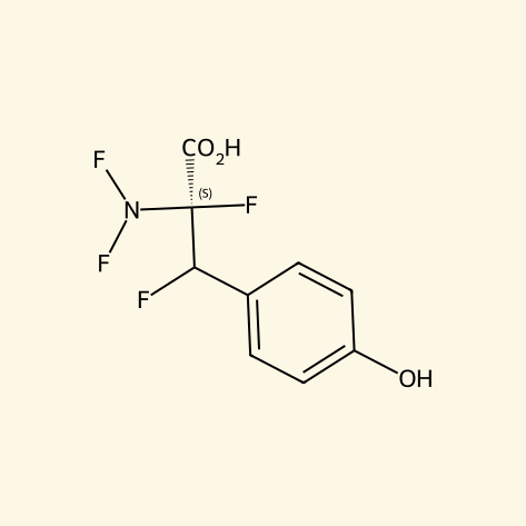 O=C(O)[C@](F)(C(F)c1ccc(O)cc1)N(F)F